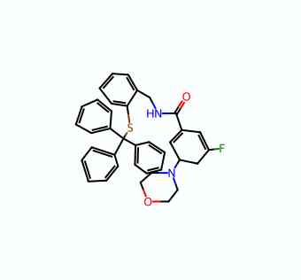 O=C(NCc1ccccc1SC(c1ccccc1)(c1ccccc1)c1ccccc1)C1=CC(N2CCOCC2)CC(F)=C1